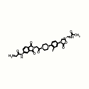 CC(=O)NC[C@H]1CN(c2ccc(N3CCN(C(=O)CN4C(=O)c5ccc(NC(=O)CN)cc5C4=O)CC3)c(F)c2)C(=O)O1